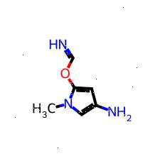 Cn1cc(N)cc1OC=N